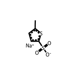 Cc1ccc(S(=O)(=O)[O-])s1.[Na+]